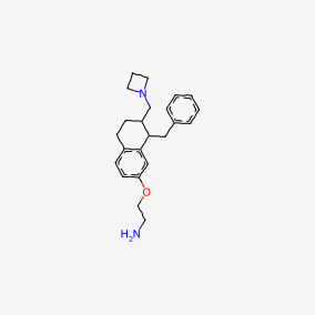 NCCOc1ccc2c(c1)C(Cc1ccccc1)C(CN1CCC1)CC2